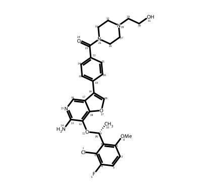 COc1ccc(F)c(Cl)c1[C@@H](C)Oc1c(N)ncc2c(-c3ccc(C(=O)N4CCN(CCO)CC4)cc3)coc12